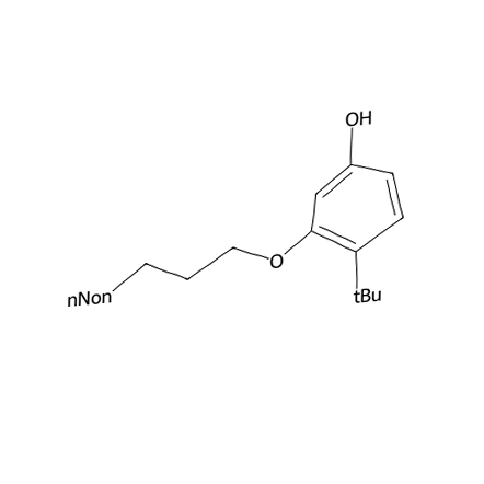 CCCCCCCCCCCCOc1cc(O)ccc1C(C)(C)C